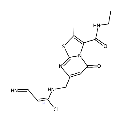 CCNC(=O)c1c(C)sc2nc(CN/C(Cl)=C\C=N)cc(=O)n12